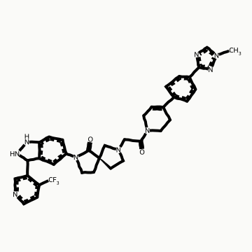 Cn1cnc(-c2ccc(C3=CCN(C(=O)CN4CC[C@]5(CCN(c6ccc7c(c6)C(c6cnccc6C(F)(F)F)NN7)C5=O)C4)CC3)cc2)n1